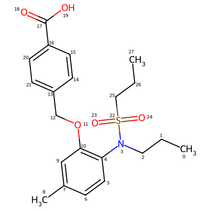 CCCN(c1ccc(C)cc1OCc1ccc(C(=O)O)cc1)S(=O)(=O)CCC